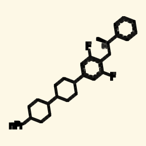 CCCC1CCC(C2CCC(c3cc(F)c(C[C@@H](C)c4ccccc4)c(F)c3)CC2)CC1